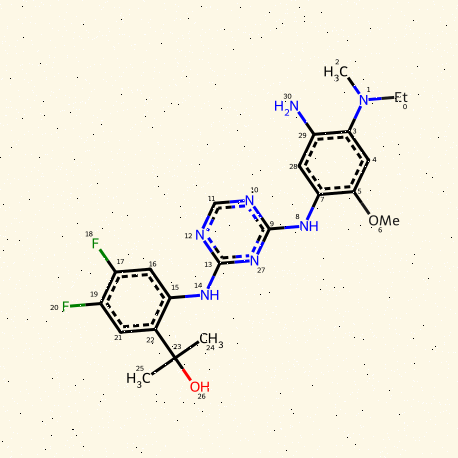 CCN(C)c1cc(OC)c(Nc2ncnc(Nc3cc(F)c(F)cc3C(C)(C)O)n2)cc1N